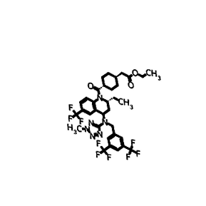 CCOC(=O)C[C@H]1CC[C@H](C(=O)N2c3ccc(C(F)(F)F)cc3C(N(Cc3cc(C(F)(F)F)cc(C(F)(F)F)c3)c3nnn(C)n3)C[C@H]2CC)CC1